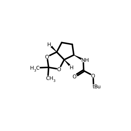 CC(C)(C)OC(=O)N[C@@H]1CC[C@H]2OC(C)(C)O[C@@H]12